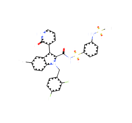 CS(=O)(=O)Nc1cccc(S(=O)(=O)NC(=O)c2c(-c3ccc[nH]c3=O)c3cc(C(F)(F)F)ccc3n2Cc2ccc(F)cc2F)c1